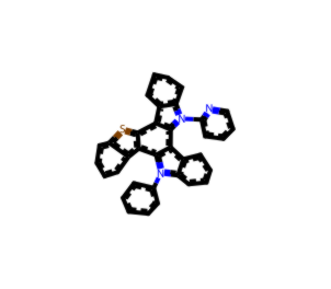 c1ccc(-n2c3ccccc3c3c4c(c5ccccc5n4-c4ccccn4)c4sc5ccccc5c4c32)cc1